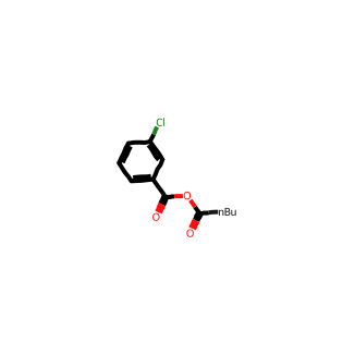 CCCCC(=O)OC(=O)c1cccc(Cl)c1